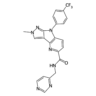 Cn1cc2c3nc(C(=O)NCc4ccncn4)ccc3n(-c3ccc(C(F)(F)F)cc3)c2n1